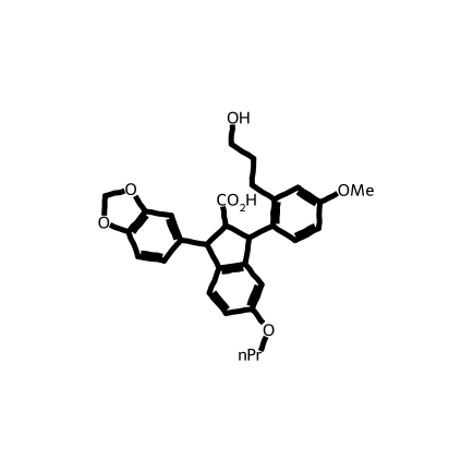 CCCOc1ccc2c(c1)C(c1ccc(OC)cc1CCCO)C(C(=O)O)C2c1ccc2c(c1)OCO2